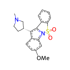 COc1ccc2c([C@@H]3CCN(C)C3)c3n(c2c1)S(=O)(=O)c1ccccc1-3